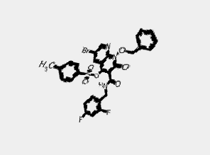 Cc1ccc(S(=O)(=O)Oc2c(C(=O)NCc3ccc(F)cc3F)c(=O)n(OCc3ccccc3)c3ncc(Br)cc23)cc1